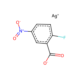 O=C([O-])c1cc([N+](=O)[O-])ccc1F.[Ag+]